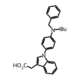 CCC(C)N(Cc1ccccc1)c1ccc(-n2cc(CC(=O)O)c3ccccc32)cc1